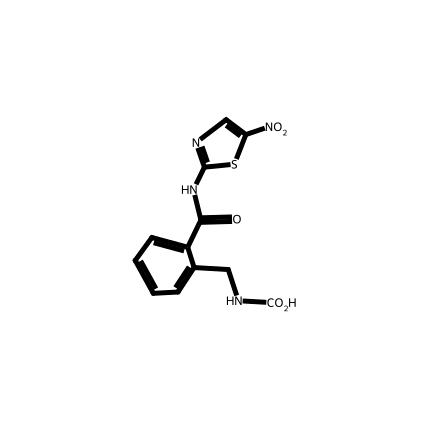 O=C(O)NCc1ccccc1C(=O)Nc1ncc([N+](=O)[O-])s1